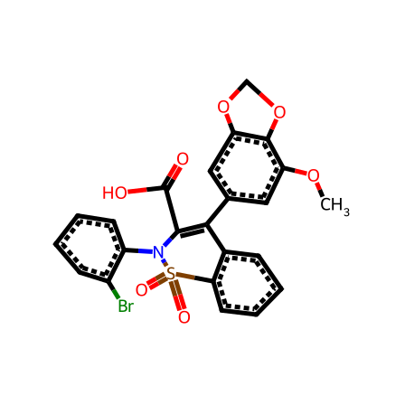 COc1cc(C2=C(C(=O)O)N(c3ccccc3Br)S(=O)(=O)c3ccccc32)cc2c1OCO2